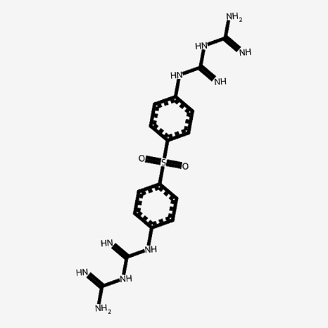 N=C(N)NC(=N)Nc1ccc(S(=O)(=O)c2ccc(NC(=N)NC(=N)N)cc2)cc1